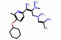 CCC/C(N)=C/N(N)C/C(=C(/N)c1ccc(OC2CCCCC2)c(C)n1)N(C)N